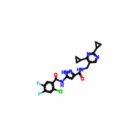 O=C(NCc1cnc(C2CC2)nc1C1CC1)c1cc(NC(=O)c2cc(F)c(F)cc2Cl)[nH]n1